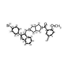 COc1ccc(F)cc1C(=O)N1CC2CN(Cc3c(-c4ccc(Br)cc4)nc4ccccn34)CC2C1